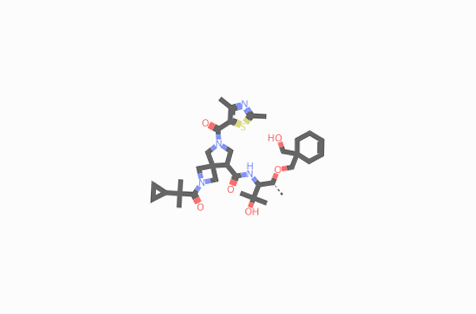 Cc1nc(C)c(C(=O)N2CC(C(=O)NC([C@@H](C)OCC3(CO)CC=CCC3)C(C)(C)O)C3(C2)CN(C(=O)C(C)(C)C2CC2)C3)s1